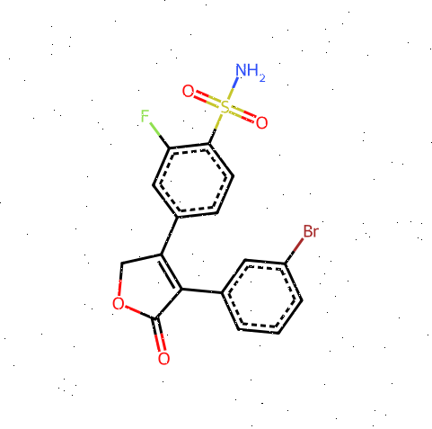 NS(=O)(=O)c1ccc(C2=C(c3cccc(Br)c3)C(=O)OC2)cc1F